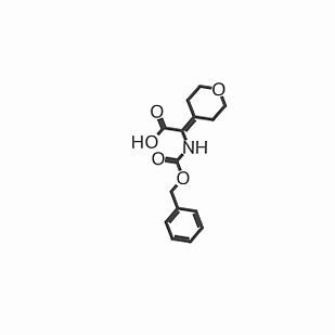 O=C(NC(C(=O)O)=C1CCOCC1)OCc1ccccc1